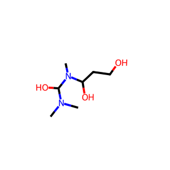 CN(C)C(O)N(C)C(O)CCO